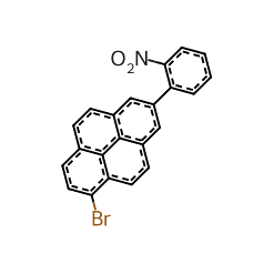 O=[N+]([O-])c1ccccc1-c1cc2ccc3ccc(Br)c4ccc(c1)c2c34